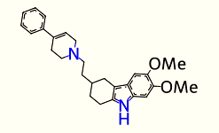 COc1cc2[nH]c3c(c2cc1OC)CC(CCN1CC=C(c2ccccc2)CC1)CC3